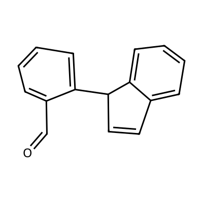 O=Cc1ccccc1C1C=Cc2ccccc21